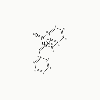 O=c1c(=Cc2ccccc2)sc2cccc1c2[N+](=O)[O-]